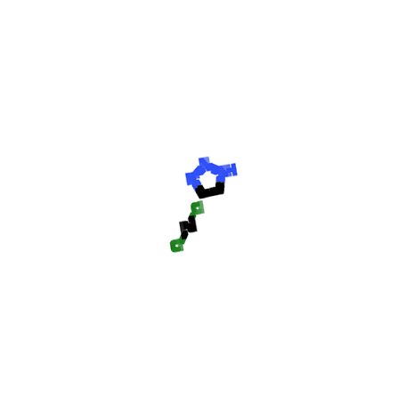 [Cl][Pd][Cl].c1c[nH]nn1